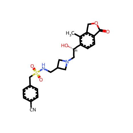 Cc1c([C@@H](O)CN2CC(CNS(=O)(=O)Cc3ccc(C#N)cc3)C2)ccc2c1COC2=O